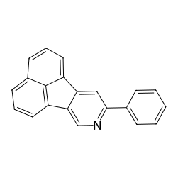 c1ccc(-c2cc3c(cn2)-c2cccc4cccc-3c24)cc1